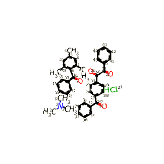 CN(C)C.Cc1cc(C)c(C(=O)c2ccccc2)c(C)c1.Cl.O=C(C(=O)c1ccc(C(=O)c2ccccc2)cc1)c1ccccc1